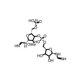 COC1C(OP(=O)(O)OC[C@H]2O[C@@H](NC=N)C(O)C2O)[C@@H](CO[PH](=O)O)O[C@H]1NC=N